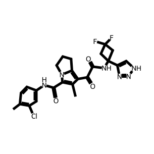 Cc1ccc(NC(=O)c2c(C)c(C(=O)C(=O)NC3(c4c[nH]nn4)CC(F)(F)C3)c3n2CCC3)cc1Cl